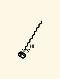 CCCCCCCCCCCCCCC/C(=N/C12CC3CC(CC(C3)C1)C2)SC.I